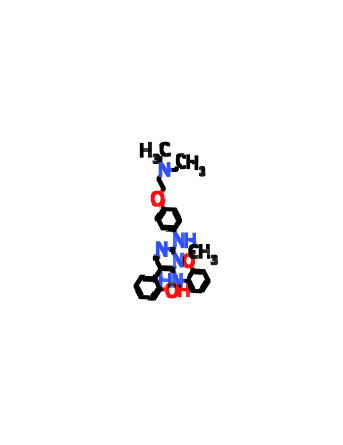 CCN(CC)CCOc1ccc(Nc2ncc(-c3ccccc3O)c(Nc3ccccc3OC)n2)cc1